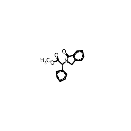 COC(=O)[C@H](c1ccccc1)N1Cc2ccccc2C1=O